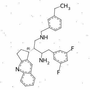 CCc1cccc(CNCC(C(N)Cc2cc(F)cc(F)c2)[C@H]2CCc3nc4ccccc4cc32)c1